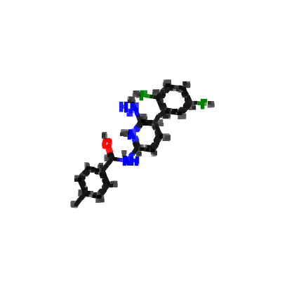 Cc1ccc(C(=O)Nc2ccc(-c3cc(F)ccc3F)c(N)n2)cc1